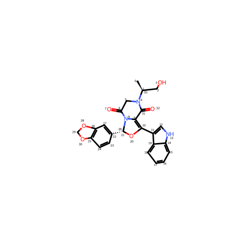 C[C@@H](CO)N1CC(=O)N2C(=C(c3c[nH]c4ccccc34)O[C@@H]2c2ccc3c(c2)OCO3)C1=O